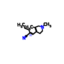 CCC/C(C#N)=C\C1=C(C)CN(C)CC1